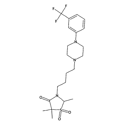 CC1N(CCCCN2CCN(c3cccc(C(F)(F)F)c3)CC2)C(=O)C(C)(C)S1(=O)=O